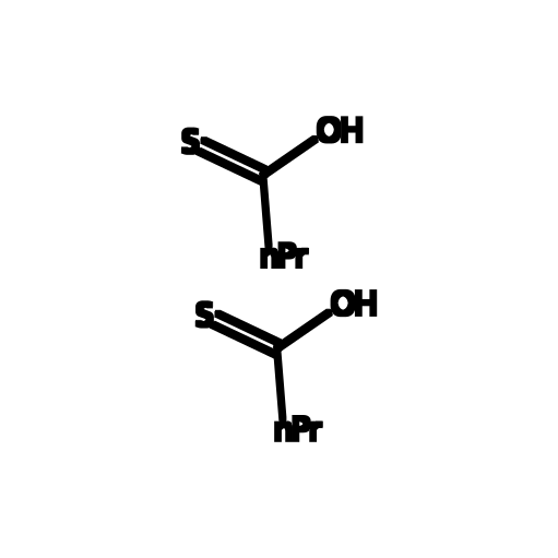 CCCC(O)=S.CCCC(O)=S